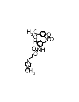 CC(O)c1ccc2oc(=O)n(Cc3cccc(NC(=O)OCCCN4CCN(C)CC4)c3)c2c1